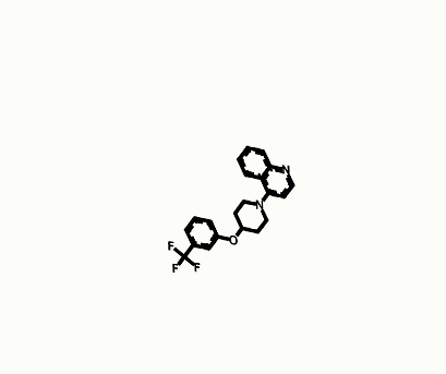 FC(F)(F)c1cccc(OC2CCN(c3ccnc4ccccc34)CC2)c1